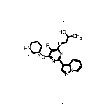 CC(O)COc1nc(-c2cnn3ccccc23)nc(O[C@@H]2CCCNC2)c1F